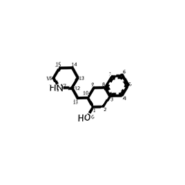 OC1Cc2ccccc2CC1CC1CCCCN1